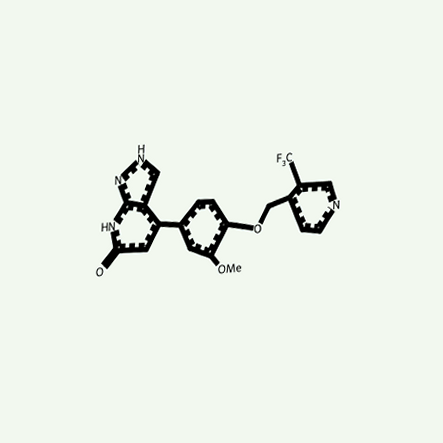 COc1cc(-c2cc(=O)[nH]c3n[nH]cc23)ccc1OCc1ccncc1C(F)(F)F